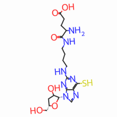 NC(CCC(=O)O)C(=O)NCCCCNc1nc(S)c2ncn([C@@H]3O[C@H](CO)CC3O)c2n1